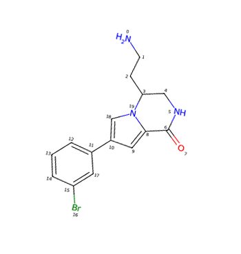 NCCC1CNC(=O)c2cc(-c3cccc(Br)c3)cn21